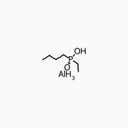 CCCCP(=O)(O)CC.[AlH3]